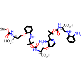 CC(C)(C)OC(=O)N[C@@H](CCOc1ccccc1NCC(C)(C)OC(=O)N[C@@H](COc1ccnc(CC(C)(C)OC(=O)N[C@@H](CNc2ccccc2N)C(=O)O)c1N)C(=O)O)C(=O)O